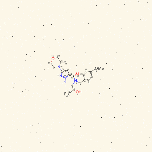 COc1ccc(CN(CC(O)C(F)(F)F)C(=O)c2cc(N3CCOC[C@H]3C)n[nH]2)cc1